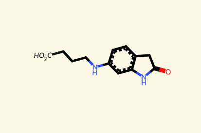 O=C(O)CCCNc1ccc2c(c1)NC(=O)C2